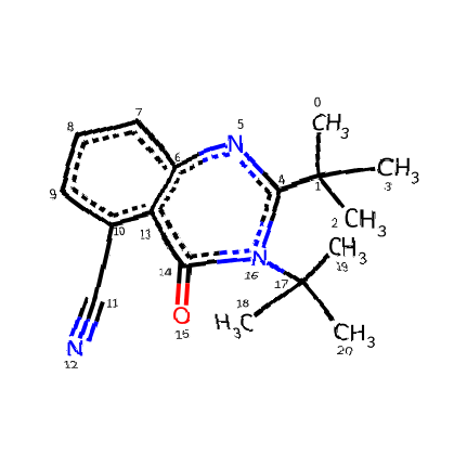 CC(C)(C)c1nc2cccc(C#N)c2c(=O)n1C(C)(C)C